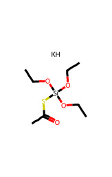 CCO[Si](OCC)(OCC)SC(C)=O.[KH]